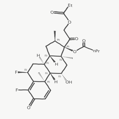 CCCC(=O)O[C@]1(C(=O)COC(=O)CC)[C@H](C)C[C@H]2[C@@H]3C[C@H](F)C4=C(F)C(=O)C=C[C@]4(C)[C@H]3[C@@H](O)C[C@@]21C